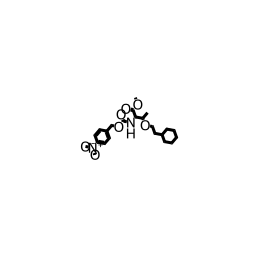 COC(=O)C(NC(=O)OCc1ccc([N+](=O)[O-])cc1)C(C)OCCC1CCCCC1